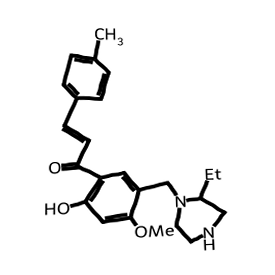 CCC1CNCCN1Cc1cc(C(=O)/C=C/c2ccc(C)cc2)c(O)cc1OC